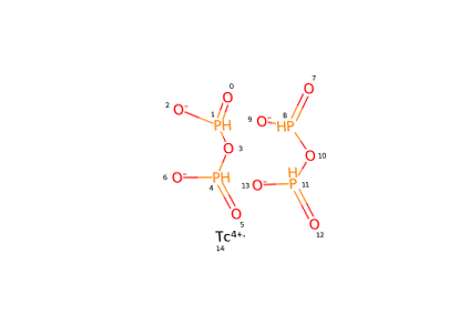 O=[PH]([O-])O[PH](=O)[O-].O=[PH]([O-])O[PH](=O)[O-].[Tc+4]